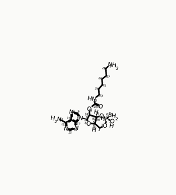 B[PH]1(O)OC[C@H]2O[C@@H](n3cnc4c(N)ncnc43)C(OC(=O)NCCCCCCN)[C@H]2O1